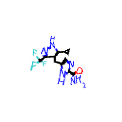 NC(=O)c1ncc(Cc2c(C(F)(F)F)n[nH]c2C2CC2)[nH]1